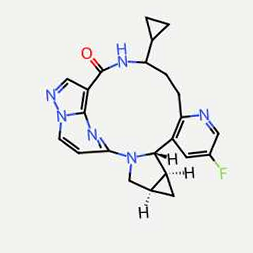 O=C1NC(C2CC2)CCc2ncc(F)cc2[C@@H]2[C@H]3C[C@H]3CN2c2ccn3ncc1c3n2